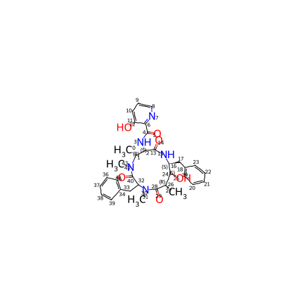 C[C@@H]1[C@H](NC(=O)c2ncccc2O)C(=O)N[C@@H](Cc2ccccc2)[C@@H](O)[C@@H](C)C(=O)N(C)C(Cc2ccccc2)C(=O)N1C